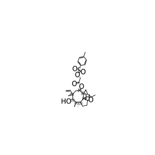 C=C[C@]1(C)C[C@@H](OC(=O)COS(=O)(=O)c2ccc(C)cc2)[C@@]2(CC2CC)[C@@H]2C(=O)CC[C@@]2(C)[C@@H](C)[C@@H]1O